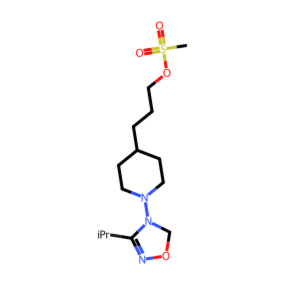 CC(C)C1=NOCN1N1CCC(CCCOS(C)(=O)=O)CC1